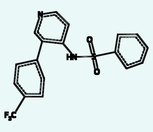 O=S(=O)(Nc1ccncc1-c1ccc(C(F)(F)F)cc1)c1ccccc1